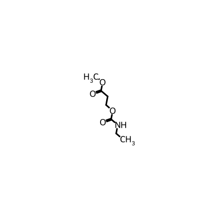 CCNC(=O)OCCC(=O)OC